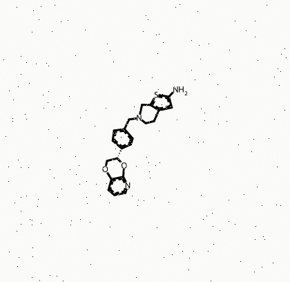 Nc1cc2c(s1)CN(Cc1ccc([C@H]3COc4cccnc4O3)cc1)CC2